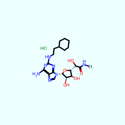 CCNC(=O)C(O)[C@H]1O[C@@H](n2cnc3c(N)nc(NCCC4CCCCC4)nc32)[C@H](O)[C@@H]1O.Cl